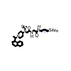 CS/C=C/CNC(=O)CNC(=O)CN(C1CCN(C(C)c2cccc3ccccc23)CC1)[S+](C)[O-]